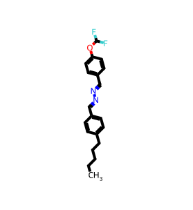 CCCCCc1ccc(/C=N/N=C/c2ccc(OC(F)F)cc2)cc1